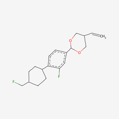 C=CC1COC(c2ccc(C3CCC(CF)CC3)c(F)c2)OC1